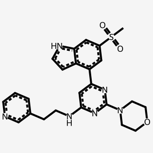 CS(=O)(=O)c1cc(-c2cc(NCCc3cccnc3)nc(N3CCOCC3)n2)c2cc[nH]c2c1